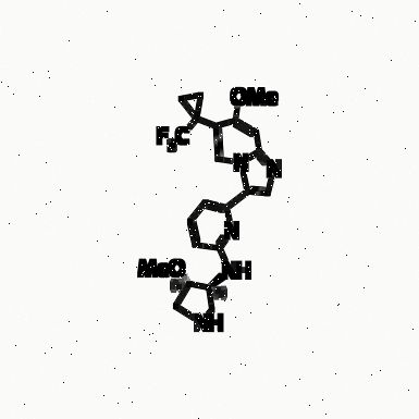 COc1cc2ncc(-c3cccc(N[C@H]4CNC[C@@H]4OC)n3)n2cc1C1(C(F)(F)F)CC1